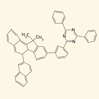 CC1(C)C2=c3ccccc3=CC(c3ccc4ccccc4c3)C2c2ccc(-c3cccc(-c4nc(-c5ccccc5)nc(-c5ccccc5)n4)c3)cc21